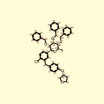 [CH2][C@H]1O[C@@H](c2ccc(Cl)c(Cc3ccc(O[C@@H]4CCOC4)cc3)c2)[C@H](OCc2ccccc2)[C@H](OCc2ccccc2)[C@@H]1OCc1ccccc1